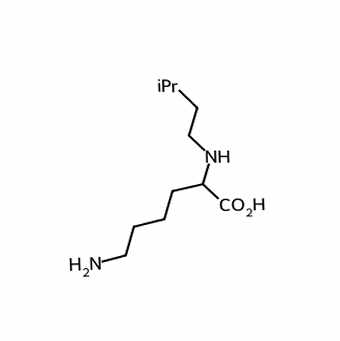 CC(C)CCNC(CCCCN)C(=O)O